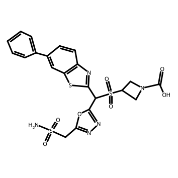 NS(=O)(=O)Cc1nnc(C(c2nc3ccc(-c4ccccc4)cc3s2)S(=O)(=O)C2CN(C(=O)O)C2)o1